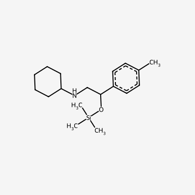 Cc1ccc(C(CNC2CCCCC2)O[Si](C)(C)C)cc1